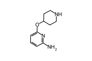 Nc1cccc(OC2CCNCC2)n1